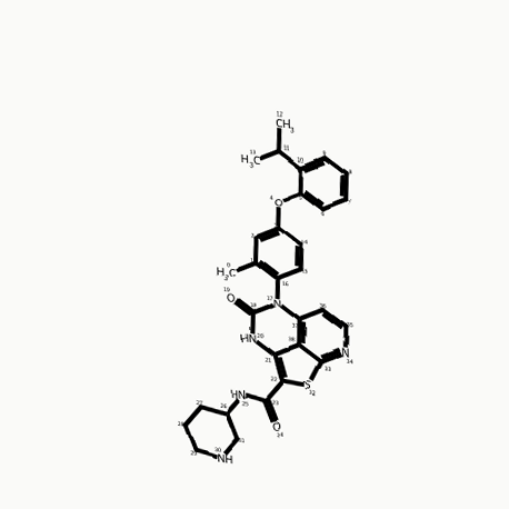 Cc1cc(Oc2ccccc2C(C)C)ccc1N1C(=O)Nc2c(C(=O)NC3CCCNC3)sc3nccc1c23